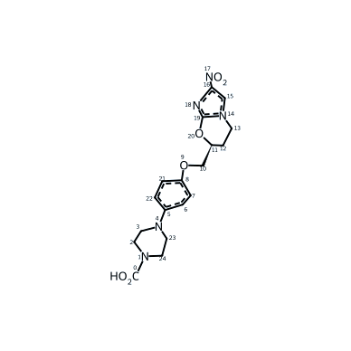 O=C(O)N1CCN(c2ccc(OC[C@@H]3CCn4cc([N+](=O)[O-])nc4O3)cc2)CC1